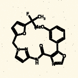 COc1cccc(-c2ocnc2C(=O)Nc2ccn(Cc3ccc(C(C)(F)F)o3)n2)c1